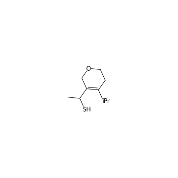 CC(C)C1=C(C(C)S)COCC1